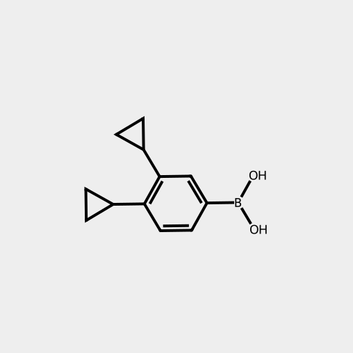 OB(O)c1ccc(C2CC2)c(C2CC2)c1